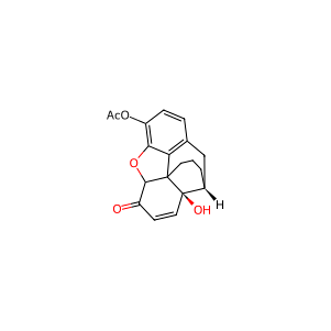 CC(=O)Oc1ccc2c3c1OC1C(=O)C=C[C@@]4(O)[C@H](CCCC314)C2